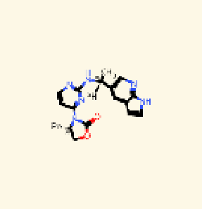 [2H][C@](C)(Nc1nccc(N2C(=O)OC[C@@H]2C(C)C)n1)c1cnc2[nH]ccc2c1